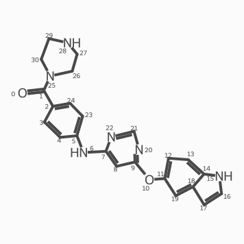 O=C(c1ccc(Nc2cc(Oc3ccc4[nH]ccc4c3)ncn2)cc1)N1CCNCC1